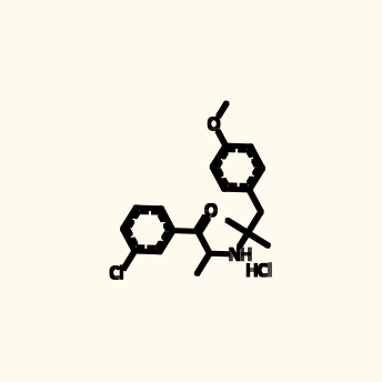 COc1ccc(CC(C)(C)NC(C)C(=O)c2cccc(Cl)c2)cc1.Cl